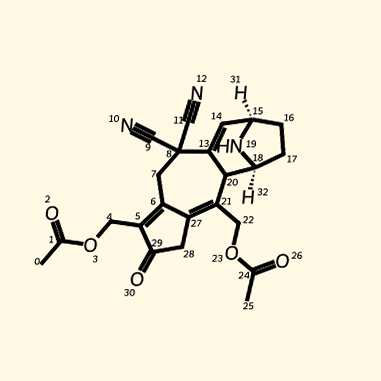 CC(=O)OCC1=C2CC(C#N)(C#N)C3=C[C@H]4CC[C@H](N4)C3C(COC(C)=O)=C2CC1=O